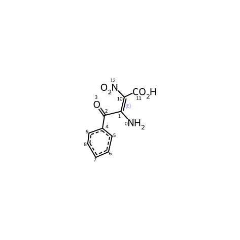 N/C(C(=O)c1ccccc1)=C(\C(=O)O)[N+](=O)[O-]